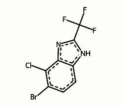 FC(F)(F)c1nc2c(Cl)c(Br)ccc2[nH]1